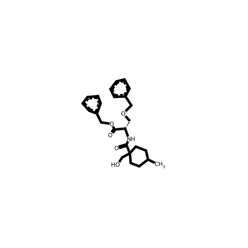 CC1CCC(CO)(C(=O)N[C@@H](COCc2ccccc2)C(=O)OCc2ccccc2)CC1